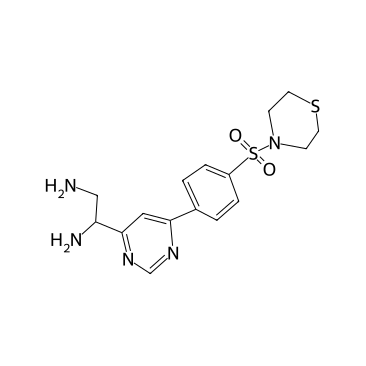 NCC(N)c1cc(-c2ccc(S(=O)(=O)N3CCSCC3)cc2)ncn1